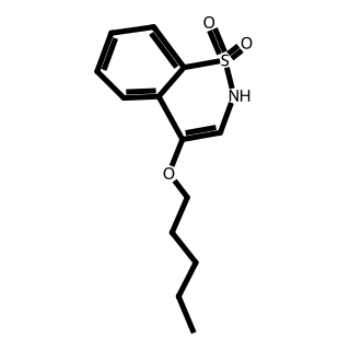 CCCCCOC1=CNS(=O)(=O)c2ccccc21